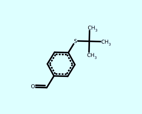 CC(C)(C)Sc1ccc(C=O)cc1